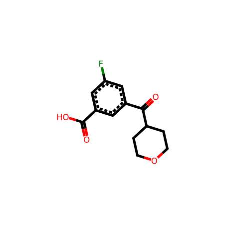 O=C(O)c1cc(F)cc(C(=O)C2CCOCC2)c1